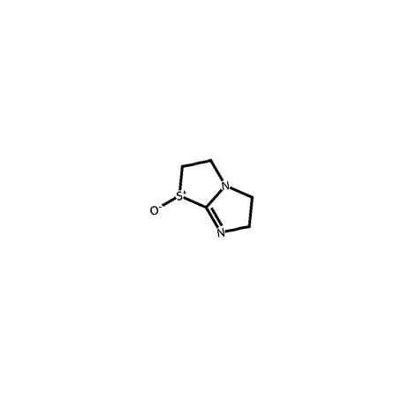 [O-][S+]1CCN2CCN=C21